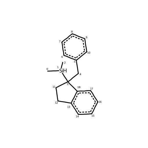 C[SiH](C)C1(Cc2ccccc2)CCc2ccccc21